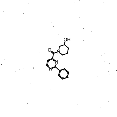 O=C(c1ccnc(-c2ccccc2)n1)N1CCCC(O)C1